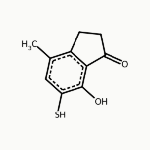 Cc1cc(S)c(O)c2c1CCC2=O